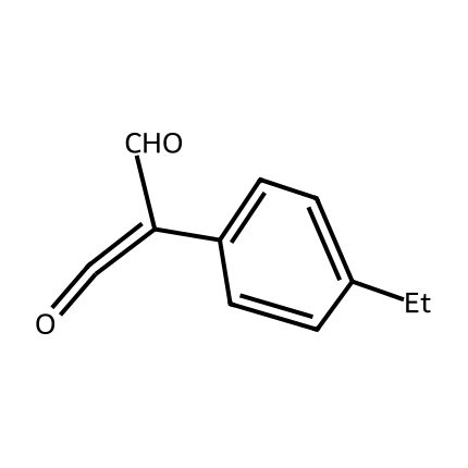 CCc1ccc(C(=C=O)C=O)cc1